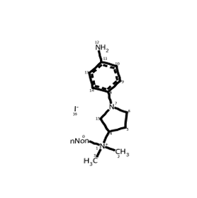 CCCCCCCCC[N+](C)(C)C1CCN(c2ccc(N)cc2)C1.[I-]